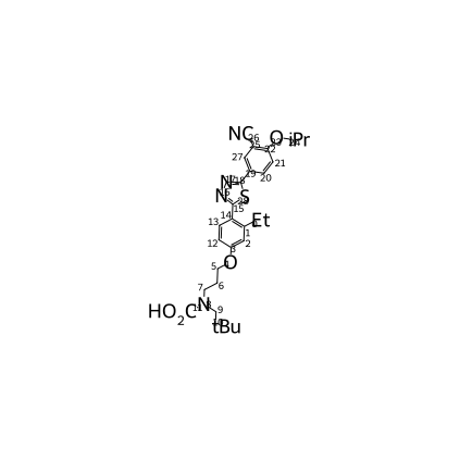 CCc1cc(OCCCN(CC(C)(C)C)C(=O)O)ccc1-c1nnc(-c2ccc(OC(C)C)c(C#N)c2)s1